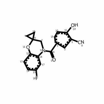 N#Cc1cc(C(=O)N2CC3(CC3)Oc3ccc(F)cc32)ccc1O